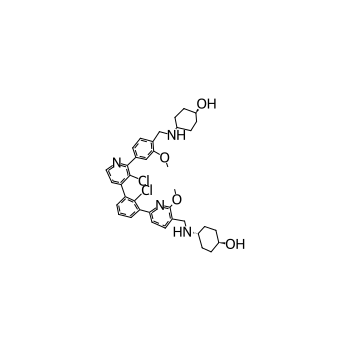 COc1cc(-c2nccc(-c3cccc(-c4ccc(CN[C@H]5CC[C@H](O)CC5)c(OC)n4)c3Cl)c2Cl)ccc1CN[C@H]1CC[C@H](O)CC1